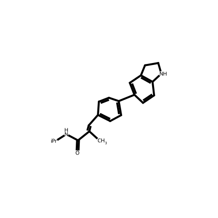 C/C(=C\c1ccc(-c2ccc3c(c2)CCN3)cc1)C(=O)NC(C)C